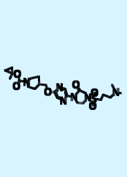 CN(C)CCCS(=O)(=O)N1CCN(c2cnc(OCC3CCN(C(=O)OC4(C)CC4)CC3)cn2)C(=O)C1